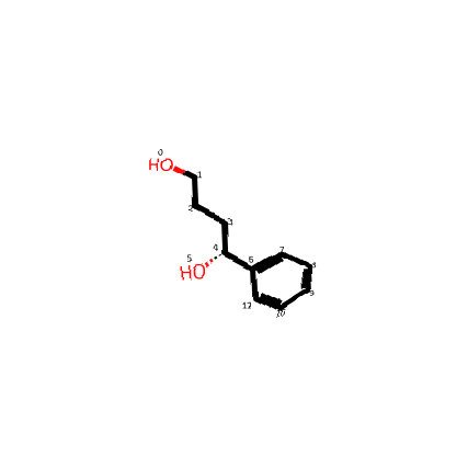 OCCC[C@@H](O)c1ccccc1